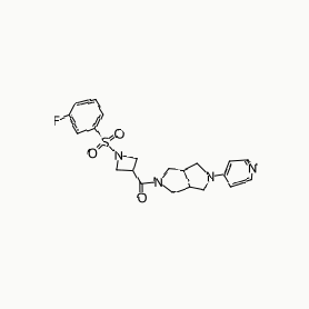 O=C(C1CN(S(=O)(=O)c2cccc(F)c2)C1)N1CC2CN(c3ccncc3)CC2C1